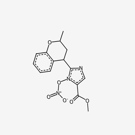 COC(=O)c1cnc(C2CC(C)Oc3ccccc32)n1O[N+](=O)[O-]